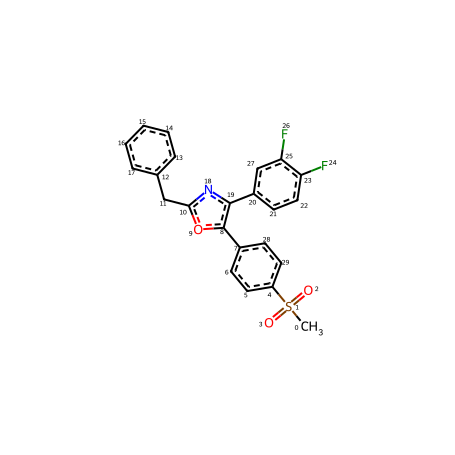 CS(=O)(=O)c1ccc(-c2oc(Cc3ccccc3)nc2-c2ccc(F)c(F)c2)cc1